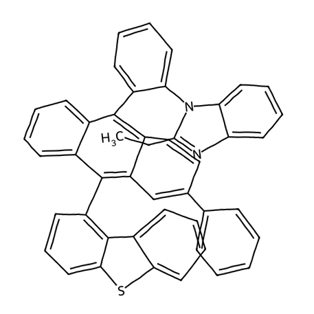 CCc1nc2ccccc2n1-c1ccccc1-c1c2ccccc2c(-c2cccc3sc4ccccc4c23)c2cc(-c3ccccc3)ccc12